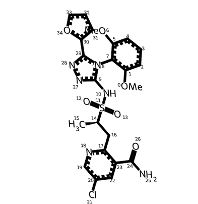 COc1cccc(OC)c1-n1c(NS(=O)(=O)[C@H](C)Cc2ncc(Cl)cc2C(N)=O)nnc1-c1ccco1